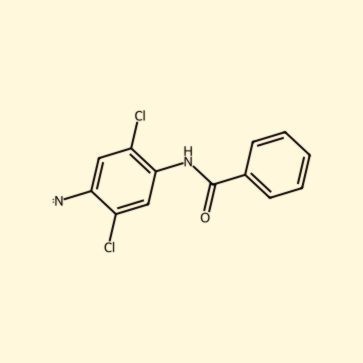 [N]c1cc(Cl)c(NC(=O)c2ccccc2)cc1Cl